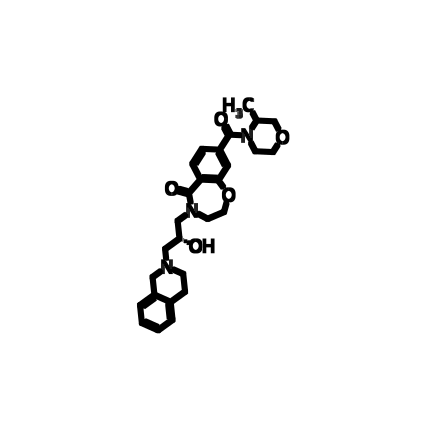 CC1COCCN1C(=O)c1ccc2c(c1)OCCN(C[C@H](O)CN1CCc3ccccc3C1)C2=O